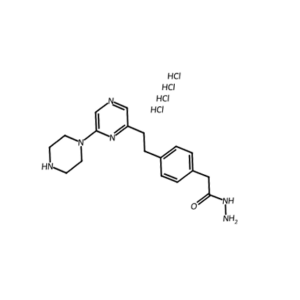 Cl.Cl.Cl.Cl.NNC(=O)Cc1ccc(CCc2cncc(N3CCNCC3)n2)cc1